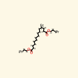 CCC(CCCCCCCCCCC(=O)OCCC(C)C)CCC(=O)OCCC(C)C